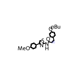 CCCCOc1ccc(/C=C\C(=O)Nc2nc(-c3ccc(OC)cc3)cs2)cc1